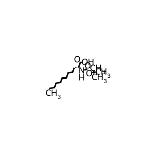 CCCCC/C=C/CCC[C@@H](NC(=O)OC(C)(C)C)C(=O)O